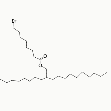 CCCCCCCCCCC(CCCCCCCC)COC(=O)CCCCCCCBr